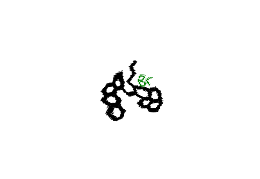 CCCCC1C(=Cc2cccc3ccc4cc5ccccc5cc4c23)c2ccc3cccc4ccc(c2c34)=C1Br